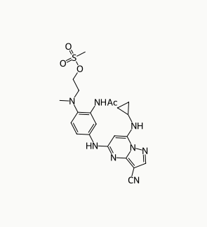 CC(=O)Nc1cc(Nc2cc(NC3CC3)n3ncc(C#N)c3n2)ccc1N(C)CCOS(C)(=O)=O